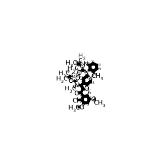 COc1cc(OC)c(Cl)c(C(=O)c2oc3cnc(N(C(=O)OC(C)(C)C)c4c(C)cccc4N)cc3c2N(C)C(=O)OC(C)(C)C)c1F